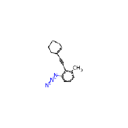 Cc1cccc(N=[N+]=[N-])c1C#CC1=CCCCC1